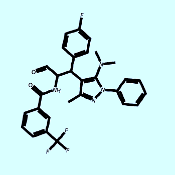 Cc1nn(-c2ccccc2)c(N(C)C)c1C(c1ccc(F)cc1)C(C=O)NC(=O)c1cccc(C(F)(F)F)c1